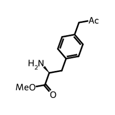 COC(=O)[C@@H](N)Cc1ccc(CC(C)=O)cc1